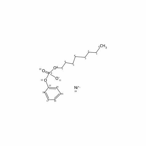 CCCCCCCCOP(=O)([O-])Oc1ccccc1.[Ni+]